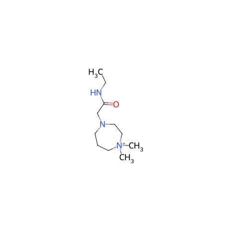 CCNC(=O)CN1CCC[N+](C)(C)CC1